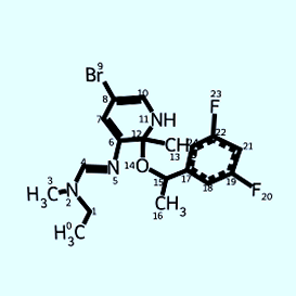 CCN(C)C=NC1=CC(Br)=CNC1(C)OC(C)c1cc(F)cc(F)c1